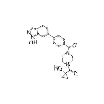 O=C(c1ccc(-c2ccc3cnn(O)c3c2)cc1)N1CCN(C(=O)C2(O)CC2)CC1